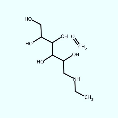 C=O.CCNCC(O)C(O)C(O)C(O)CO